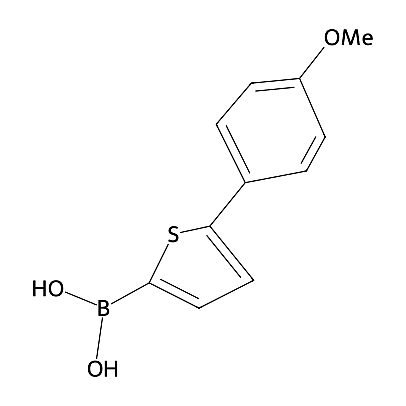 COc1ccc(-c2ccc(B(O)O)s2)cc1